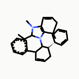 CCC1N(C)C2=C(C(C)CC=C2)N1C1C(c2ccccc2)C=CCC1[C@H]1C=CC=CC1